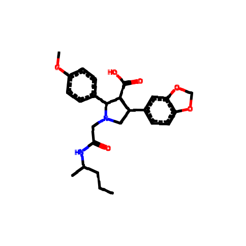 CCCC(C)NC(=O)CN1CC(c2ccc3c(c2)OCO3)C(C(=O)O)C1c1ccc(OC)cc1